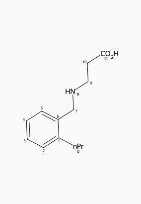 CCCc1ccccc1CNCCC(=O)O